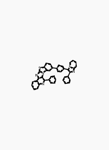 c1ccc(-c2nc3ccccn3c2-c2ccc(-c3ccc4sc5nc6c7ccccc7nc(-c7ccccc7)c6n5c4c3)cc2)cc1